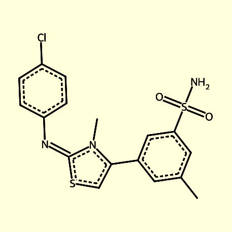 Cc1cc(-c2cs/c(=N/c3ccc(Cl)cc3)n2C)cc(S(N)(=O)=O)c1